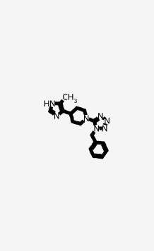 Cc1[nH]cnc1C1CCN(c2nnnn2Cc2ccccc2)CC1